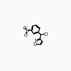 O=[N+]([O-])c1cccc(C(Cl)c2ccon2)c1